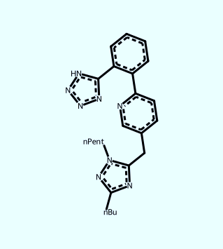 CCCCCn1nc(CCCC)nc1Cc1ccc(-c2ccccc2-c2nnn[nH]2)nc1